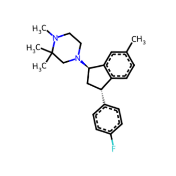 Cc1ccc2c(c1)[C@H](N1CCN(C)C(C)(C)C1)C[C@H]2c1ccc(F)cc1